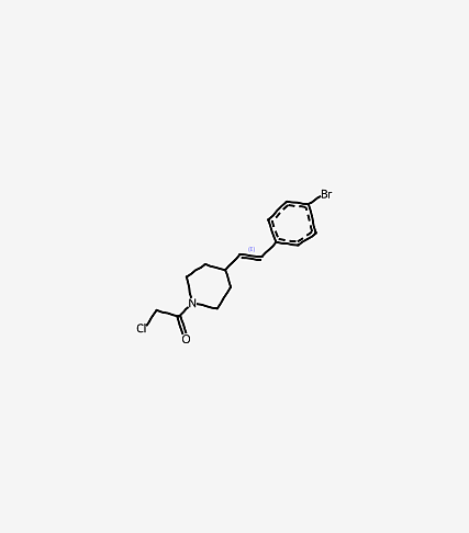 O=C(CCl)N1CCC(/C=C/c2ccc(Br)cc2)CC1